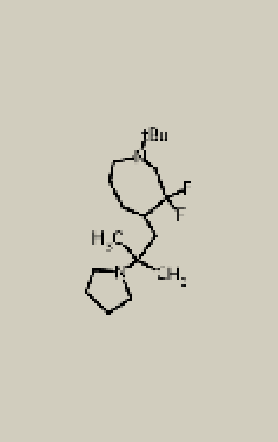 CC(C)(C)N1CCCC(CC(C)(C)N2CCCC2)C(F)(F)C1